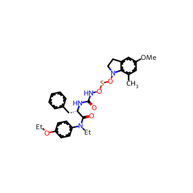 CCOc1ccc(N(CC)C(=O)[C@H](Cc2ccccc2)NC(=O)NOSON2CCc3cc(OC)cc(C)c32)cc1